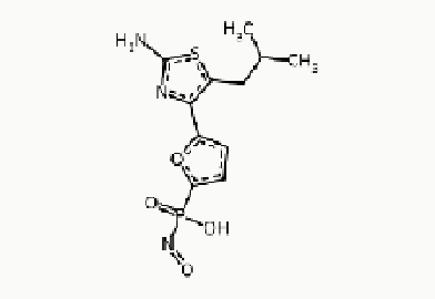 CC(C)Cc1sc(N)nc1-c1ccc(P(=O)(O)N=O)o1